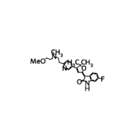 COCCN(C)CCc1ccc(C2=C/C(=C3\C(=O)Nc4cc(F)ccc43)OC2(C)C)cn1